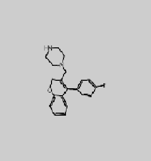 Fc1ccc(C2=C(CN3CCNCC3)COc3ccccc32)cc1